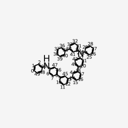 c1ccc(Nc2ccc(-c3cccc(-c4cccc(-c5ccc(N(c6ccccc6)c6cccc(-c7ccccc7)c6)cc5)c4)c3)cc2)cc1